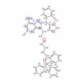 Nc1nc(F)nc2c1nc(C(C1=COCO1)c1ccccc1I)n2CCOCCCCOC(c1ccccc1)(c1ccccc1)c1ccccc1